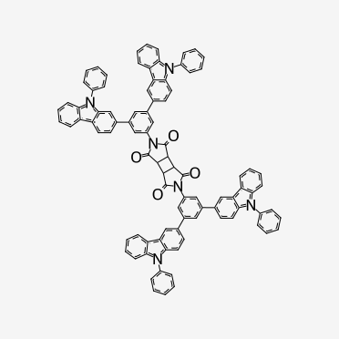 O=C1C2C(C(=O)N1c1cc(-c3ccc4c(c3)c3ccccc3n4-c3ccccc3)cc(-c3ccc4c(c3)c3ccccc3n4-c3ccccc3)c1)C1C(=O)N(c3cc(-c4ccc5c(c4)c4ccccc4n5-c4ccccc4)cc(-c4ccc5c6ccccc6n(-c6ccccc6)c5c4)c3)C(=O)C21